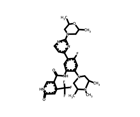 CC1CN(c2nccc(-c3cc(NC(=O)c4c[nH]c(=O)cc4C(F)(F)F)c(N4CC(C)N(C)C(C)C4)cc3F)n2)CC(C)O1